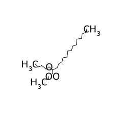 CCCCCCCCCCCCCCC(OCCCC)C(=O)OCC